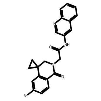 O=C(CN1CC2(CC2)c2cc(Br)ccc2C1=O)Nc1cnc2ccccc2c1